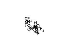 O=c1[nH]ncc(N2C[C@@H](F)C[C@H]2CCCn2ccc3cc(-c4ncc(C(F)(F)F)cn4)c(F)cc3c2=O)c1C(F)(F)F